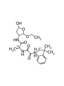 CCOC1OC(O)CC1NC(=O)[C@H](C)NC(=O)C(=O)Nc1ccccc1C(C)(C)C